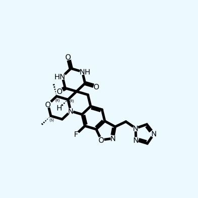 C[C@H]1CN2c3c(cc4c(Cn5cncn5)noc4c3F)CC3(C(=O)NC(=O)NC3=O)[C@@H]2[C@@H](C)O1